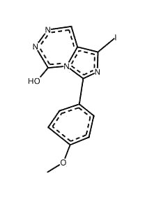 COc1ccc(-c2nc(I)c3cnnc(O)n23)cc1